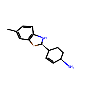 Cc1ccc2c(c1)S[C@H](C1C=C[C@H](N)CC1)N2